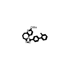 COc1ccc2c(n1)CCCc1nnc(-c3ccc(-c4ccccc4C)cc3)n1-2